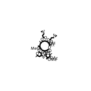 CC[C@H]1OC(=O)[C@H](C)[C@@H](O[C@H]2C[C@@](C)(OC)[C@@H](OC(C)=O)[C@H](C)O2)[C@H](C)[C@@H](O[C@@H]2O[C@H](C)C[C@H](N(C)C)[C@H]2OC)[C@@](C)(OC)C[C@@H](C)[C@H](OC(=O)CCN(C)C)[C@H](C)[C@@H](OC(=O)CCN(C)C)[C@]1(C)O